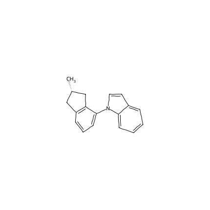 C[C@H]1Cc2cccc(-n3ccc4ccccc43)c2C1